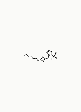 CCCCCCC[C@H]1C[C@@H](CN2N=CCC2C(F)(F)F)C1